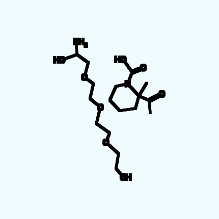 CC(=O)C1(C)CCCCN1C(=O)O.NC(O)COCCOCCOCCO